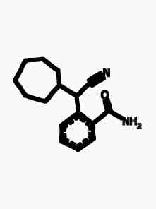 N#CC(c1ccccc1C(N)=O)C1CCCCCC1